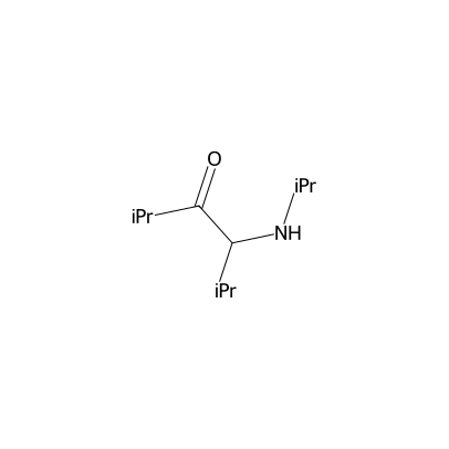 CC(C)NC(C(=O)C(C)C)C(C)C